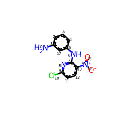 Nc1cccc(Nc2nc(Cl)ccc2[N+](=O)[O-])c1